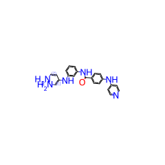 N/C=C\C(=C/N)Nc1cccc(NC(=O)c2ccc(Nc3ccncc3)cc2)c1